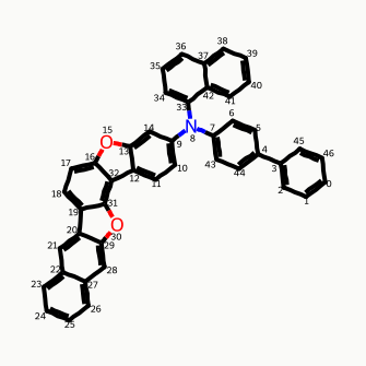 c1ccc(-c2ccc(N(c3ccc4c(c3)oc3ccc5c6cc7ccccc7cc6oc5c34)c3cccc4ccccc34)cc2)cc1